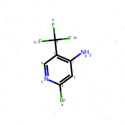 Nc1cc(Br)ncc1C(F)(F)F